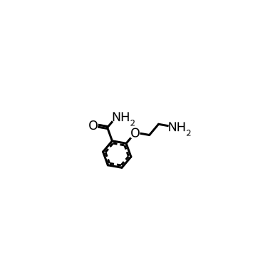 NCCOc1ccccc1C(N)=O